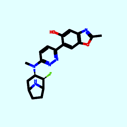 Cc1nc2cc(O)c(-c3ccc(N(C)[C@H]4CC5CCC(N5)[C@H]4F)nn3)cc2o1